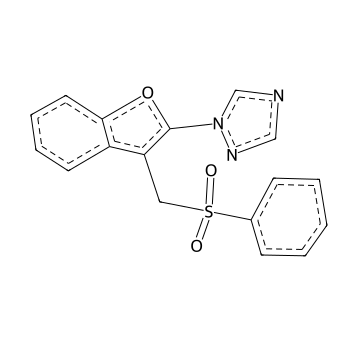 O=S(=O)(Cc1c(-n2cncn2)oc2ccccc12)c1ccccc1